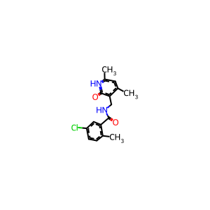 Cc1cc(C)c(CNC(=O)c2cc(Cl)ccc2C)c(=O)[nH]1